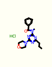 CCCc1nc(N2CCOCC2)nc(N(C)C(=O)c2ccccc2)n1.Cl